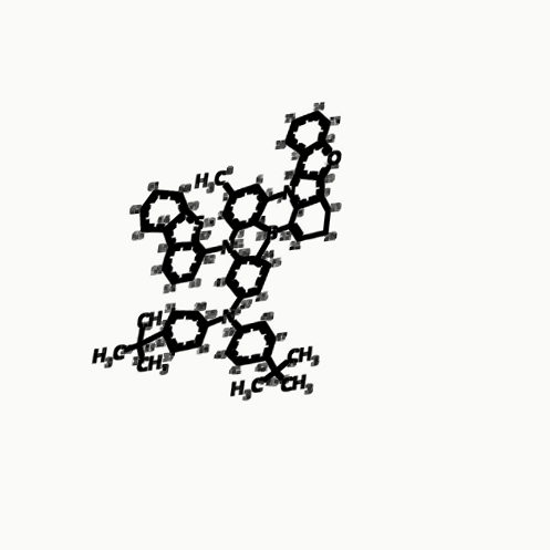 Cc1cc2c3c(c1)-n1c4c(c5oc6ccccc6c51)CCC=C4B3c1ccc(N(c3ccc(C(C)(C)C)cc3)c3ccc(C(C)(C)C)cc3)cc1N2c1cccc2c1sc1ccccc12